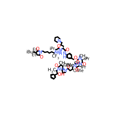 CC[C@H](C)[C@@H]([C@@H](CC(=O)N1CCC[C@H]1[C@H](OC)[C@@H](C)C(=O)N[C@H](C)[C@@H](O)c1ccccc1)OC)N(C)C(=O)[C@@H](NC(=O)[C@H](C(C)C)N(C)C(=O)OCc1ccc(NC(=O)[C@H](CCCN2CCCCC2)NC(=O)[C@@H](N[C@@H](CCCCCN2C(=O)CC(C(CC)(CC)[C@@H](C)CC)C2=O)C(F)(F)F)C(C)C)cc1)C(C)C